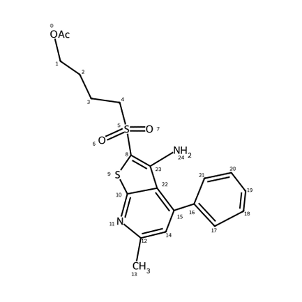 CC(=O)OCCCCS(=O)(=O)c1sc2nc(C)cc(-c3ccccc3)c2c1N